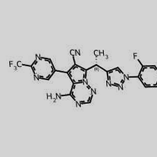 C[C@H](c1cn(-c2ccccc2F)nn1)c1c(C#N)c(-c2cnc(C(F)(F)F)nc2)c2c(N)ncnn12